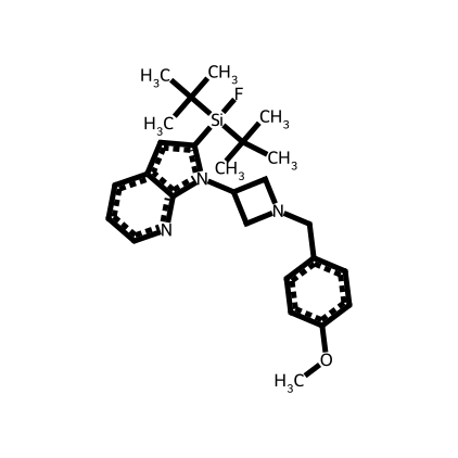 COc1ccc(CN2CC(n3c([Si](F)(C(C)(C)C)C(C)(C)C)cc4cccnc43)C2)cc1